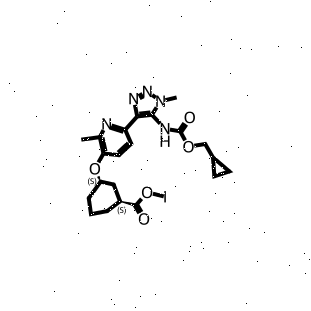 Cc1nc(-c2nnn(C)c2NC(=O)OCC2CC2)ccc1O[C@H]1CCC[C@H](C(=O)OI)C1